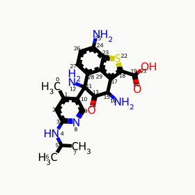 Cc1cc(NC(C)C)ncc1C1(N)C(=O)C(N)c2c(C(=O)O)sc3c(N)ccc1c23